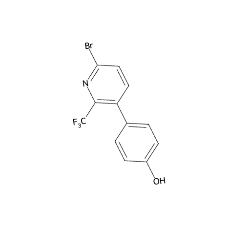 Oc1ccc(-c2ccc(Br)nc2C(F)(F)F)cc1